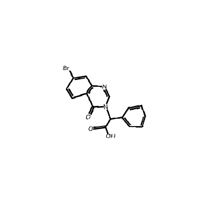 O=C(O)C(c1ccccc1)n1cnc2cc(Br)ccc2c1=O